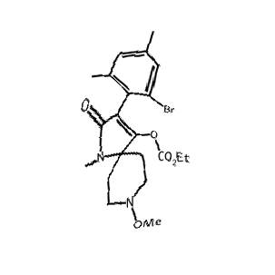 CCOC(=O)OC1=C(c2c(C)cc(C)cc2Br)C(=O)N(C)C12CCN(OC)CC2